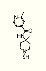 Cc1cc(C(=O)NC2(C)CCN(S)CC2)ccn1